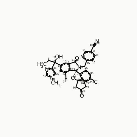 CCC(O)(c1cc(F)c2c(c1)C(=O)N(Cc1ccc(C#N)cn1)[C@@]2(O[C@H]1CCC(=O)C1)c1ccc(Cl)cc1)c1cn(C)cn1